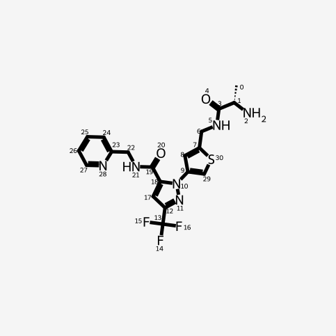 C[C@H](N)C(=O)NCc1cc(-n2nc(C(F)(F)F)cc2C(=O)NCc2ccccn2)cs1